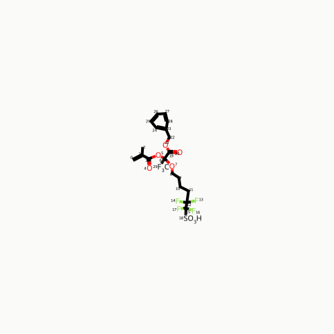 C=C(C)C(=O)OC(OCCCCC(F)(F)C(F)(F)S(=O)(=O)O)(C(=O)OCc1ccccc1)C(F)(F)F